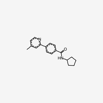 Cc1ccnc(-c2ccc(C(=O)NC3CCCC3)cc2)c1